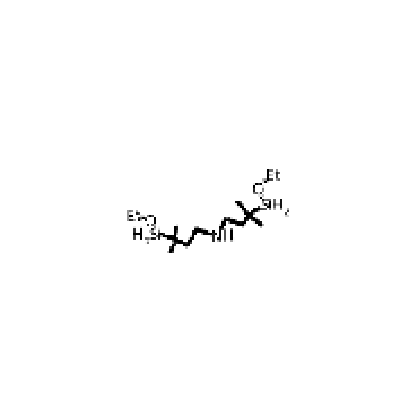 CCO[SiH2]C(C)(C)CCNCCC(C)(C)[SiH2]OCC